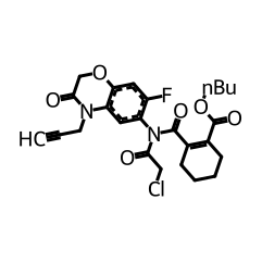 C#CCN1C(=O)COc2cc(F)c(N(C(=O)CCl)C(=O)C3=C(C(=O)OCCCC)CCCC3)cc21